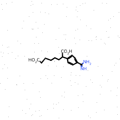 N=C(N)c1ccc(C(CCCCCC(=O)O)C(=O)O)cc1